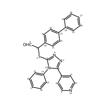 O=CC(Sc1nnc(-c2ccncc2)n1-c1ccccc1)c1ccc(-c2ccccc2)cc1